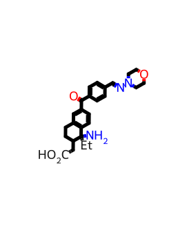 CCC1(N)c2ccc(C(=O)c3ccc(C=NN4CCOCC4)cc3)cc2CCC1CC(=O)O